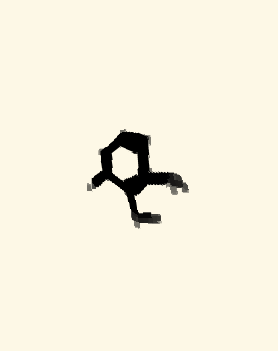 COc1c(I)cccc1[N+](=O)[O-]